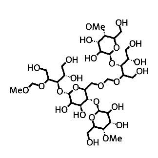 COCOC(CO)[C@H](O[C@@H]1OC(COCOC(CO)[C@H](O[C@@H]2OC(CO)[C@@H](OC)[C@@H](O)C2O)[C@@H](O)CO)[C@H](O[C@@H]2OC(CO)[C@@H](OC)[C@@H](O)C2O)[C@@H](O)C1O)[C@@H](O)CO